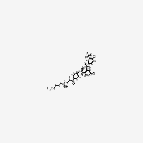 CCCCCN(O)CCNC(=O)c1ccc(CS(=O)(=O)c2ccc(Cl)cc2NS(=O)(=O)c2ccc(Cl)c(C(F)(F)F)c2)cc1